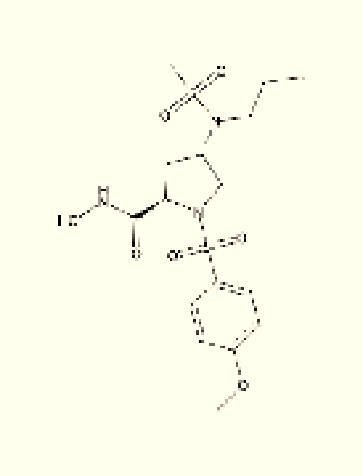 [CH2]CCN([C@H]1C[C@H](C(=O)NO)N(S(=O)(=O)c2ccc(OC)cc2)C1)S(C)(=O)=O